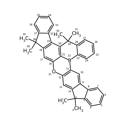 CC1(C)c2ccccc2-c2cc3c(cc21)Oc1cc2c(c4c1B3c1ccccc1C4(C)C)-c1ccccc1C2(C)C